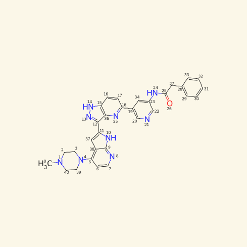 CN1CCN(c2ccnc3[nH]c(-c4n[nH]c5ccc(-c6cncc(NC(=O)Cc7ccccc7)c6)nc45)cc23)CC1